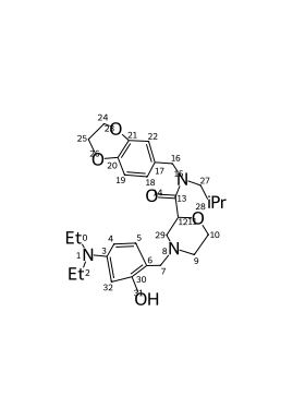 CCN(CC)c1ccc(CN2CCOC(C(=O)N(Cc3ccc4c(c3)OCCO4)CC(C)C)C2)c(O)c1